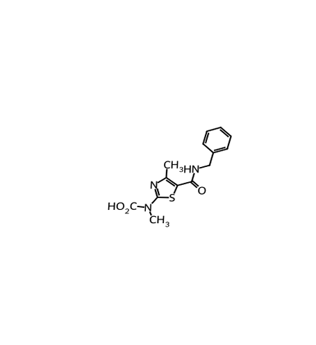 Cc1nc(N(C)C(=O)O)sc1C(=O)NCc1ccccc1